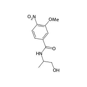 COc1cc(C(=O)NC(C)CO)ccc1[N+](=O)[O-]